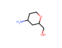 NC1CCOC(CO)C1